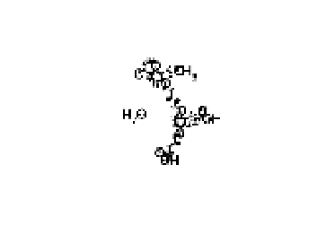 CCCc1c(OCCCCCOc2ccc(OCCCCC(=O)O)cc2CCC(=O)O)ccc2c1OCCC2=O.O